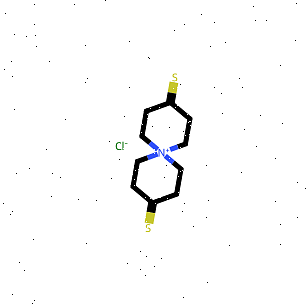 S=C1CC[N+]2(CC1)CCC(=S)CC2.[Cl-]